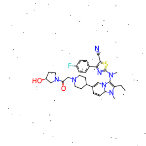 CCC1=C(N(C)c2nc(-c3ccc(F)cc3)c(C#N)s2)N2C=C(C3CCN(CC(=O)N4CC[C@H](O)C4)CC3)C=CC2N1C